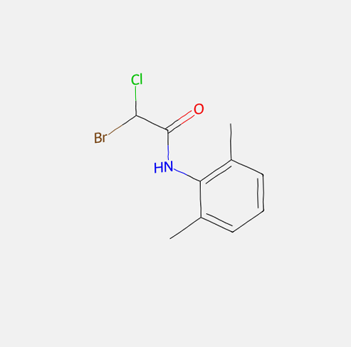 Cc1cccc(C)c1NC(=O)C(Cl)Br